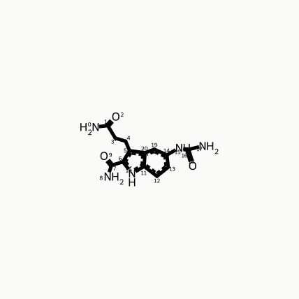 NC(=O)[CH]Cc1c(C(N)=O)[nH]c2ccc(NC(N)=O)cc12